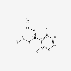 CCOC[SiH](COCC)c1c(C)cccc1C